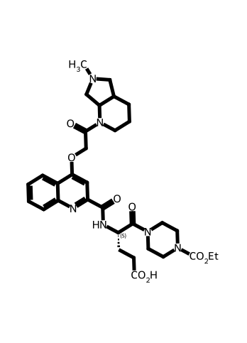 CCOC(=O)N1CCN(C(=O)[C@H](CCC(=O)O)NC(=O)c2cc(OCC(=O)N3CCCC4CN(C)CC43)c3ccccc3n2)CC1